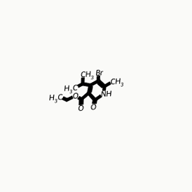 CCOC(=O)c1c(C(C)C)c(Br)c(C)[nH]c1=O